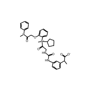 CC(C(=O)[O-])c1cccc(NC(=O)NCC(=O)[N+](C)(c2ccccc2OCC(=O)N(C)c2ccccc2)C2CCCC2)c1